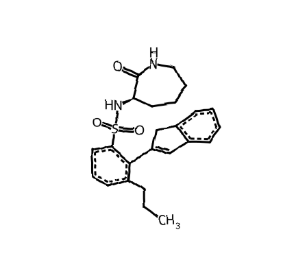 CCCc1cccc(S(=O)(=O)N[C@@H]2CCCCNC2=O)c1C1=Cc2ccccc2C1